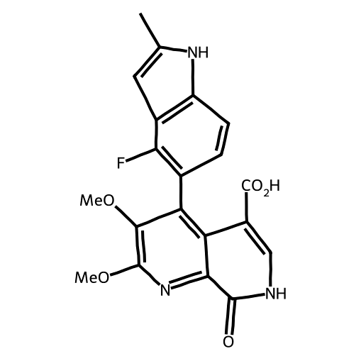 COc1nc2c(=O)[nH]cc(C(=O)O)c2c(-c2ccc3[nH]c(C)cc3c2F)c1OC